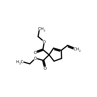 C=CC1=CC(C(=O)OCC)(C(=O)OCC)CC1